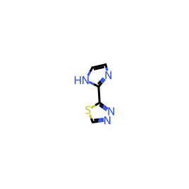 c1c[nH]c(-c2nncs2)n1